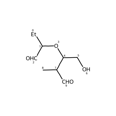 CCC(C=O)OC(CO)C(C)C=O